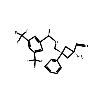 C[C@@H](OC[C@]1(c2ccccc2)C[C@](N)(C=O)C1)c1cc(C(F)(F)F)cc(C(F)(F)F)c1